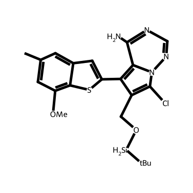 COc1cc(C)cc2cc(-c3c(CO[SiH2]C(C)(C)C)c(Cl)n4ncnc(N)c34)sc12